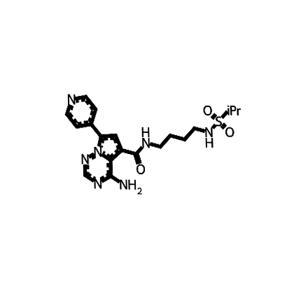 CC(C)S(=O)(=O)NCCCCNC(=O)c1cc(-c2ccncc2)n2ncnc(N)c12